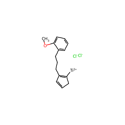 COc1ccccc1CCCC1=[C]([Ti+2])CC=C1.[Cl-].[Cl-]